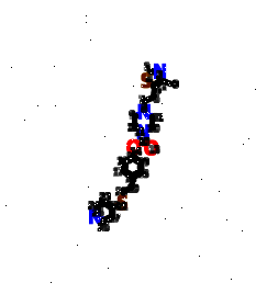 Cc1ncsc1CCN1CCN(C(=O)Oc2ccc(CCSc3ccncc3)cc2)CC1